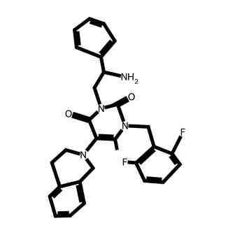 Cc1c(N2CCc3ccccc3C2)c(=O)n(CC(N)c2ccccc2)c(=O)n1Cc1c(F)cccc1F